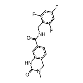 CN1Cc2ccc(C(=O)NCc3c(F)cc(F)cc3F)cc2NC1=O